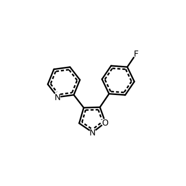 Fc1ccc(-c2oncc2-c2ccccn2)cc1